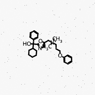 C[N+](C)(CCCOc1ccccc1)Cc1cnc(C(O)(c2ccccc2)C2CCCCC2)o1